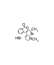 Br.CC(Br)c1oc(=O)c2ccccc2c1C1=CCCN(C)C1